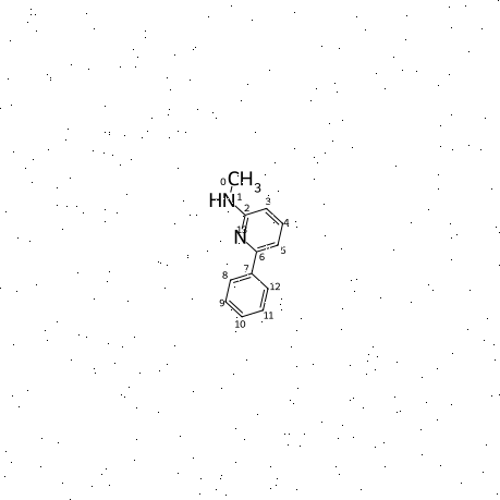 CNc1cccc(-c2ccccc2)n1